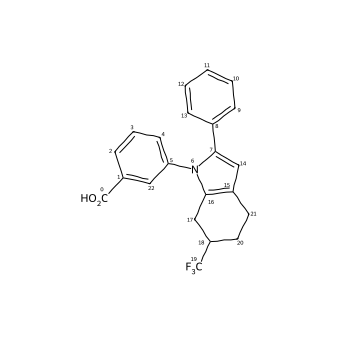 O=C(O)c1cccc(-n2c(-c3ccccc3)cc3c2CC(C(F)(F)F)CC3)c1